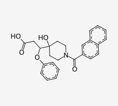 O=C(O)CC(Oc1ccccc1)C1(O)CCN(C(=O)c2ccc3ccccc3c2)CC1